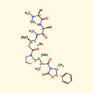 CC[C@H](C)[C@@H]([C@@H](CC(=O)N1CCC[C@H]1[C@H](OC)[C@@H](C)C(=O)N1C(=O)O[C@@H](c2ccccc2)[C@H]1C)OC)N(C)C(=O)[C@@H](NC(=O)[C@H](C(C)C)N(C)C)C(C)C